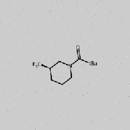 CC(C)(C)C(=O)N1CCC[C@@H](C(F)(F)F)C1